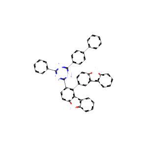 c1ccc(-c2ccc(-c3nc(-c4ccccc4)nc(-c4ccc5oc6ccccc6c5c4-c4ccc5oc6ccccc6c5c4)n3)cc2)cc1